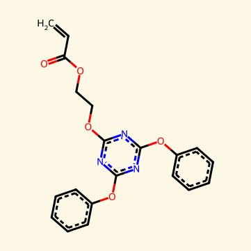 C=CC(=O)OCCOc1nc(Oc2ccccc2)nc(Oc2ccccc2)n1